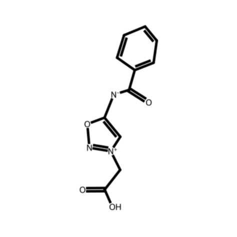 O=C(O)C[n+]1cc([N-]C(=O)c2ccccc2)on1